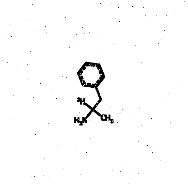 [2H]C(C)(N)Cc1ccccc1